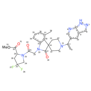 C=C(c1cnc2[nH]ncc2c1)N1CCC2(CC1)C(=O)N(CC(=O)N1CC(F)(F)CC1C(=O)OC)c1cccc(C)c12